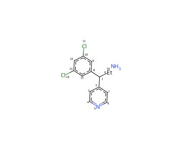 CCC(c1ccncc1)c1cc(Cl)cc(Cl)c1.N